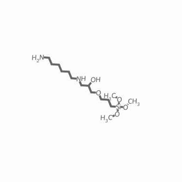 CO[Si](CCCOCC(O)CNCCCCCCN)(OC)OC